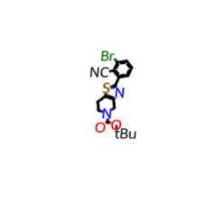 CC(C)(C)OC(=O)N1CCc2sc(-c3cccc(Br)c3C#N)nc2C1